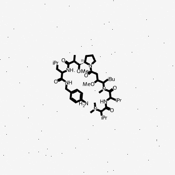 CCC(C)C(C(CC(=O)N1CCC[C@H]1C(OC)C(C)C(=O)NC(CC(C)C)C(=O)NCc1ccc(N)cc1)OC)N(C)C(=O)C(NC(=O)C(C(C)C)N(C)C)C(C)C